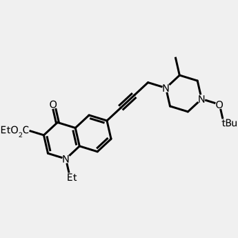 CCOC(=O)c1cn(CC)c2ccc(C#CCN3CCN(OC(C)(C)C)CC3C)cc2c1=O